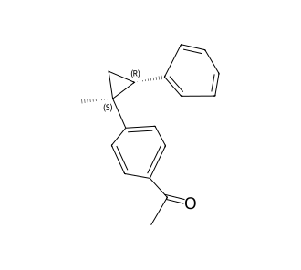 CC(=O)c1ccc([C@@]2(C)C[C@@H]2c2ccccc2)cc1